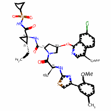 C=C[C@@H]1C[C@]1(NC(=O)[C@@H]1C[C@@H](Oc2ncc(OC)c3ccc(Cl)cc23)CN1C(=O)[C@@H](Nc1nc(-c2cc(C)ccc2OC)cs1)C(C)(C)C)C(=O)NS(=O)(=O)C1CC1